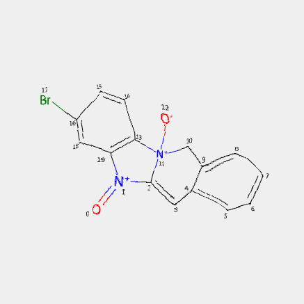 O=[N+]1C2=Cc3ccccc3C[N+]2([O-])c2ccc(Br)cc21